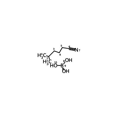 CC(C)CCCC#N.OB(O)O